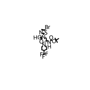 CC(C)(C)OC(=O)N[C@H](CN1CCC(C(F)(F)F)CC1)CN(C(=O)O)c1ncc(Br)s1